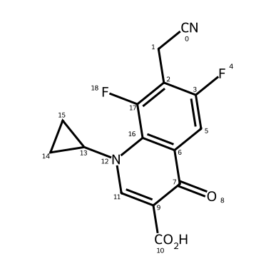 N#CCc1c(F)cc2c(=O)c(C(=O)O)cn(C3CC3)c2c1F